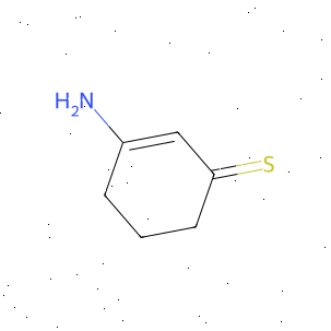 NC1=CC(=S)CCC1